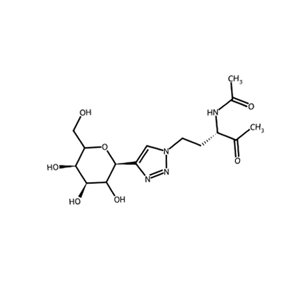 CC(=O)N[C@@H](CCn1cc([C@@H]2OC(CO)[C@H](O)[C@H](O)C2O)nn1)C(C)=O